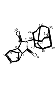 O=C1C2C3C=CC(C3)C2C(=O)N1C12CC3CC(CC(C3)C1)C2